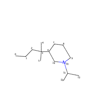 CCCC(C)(C)C1CCCN(C(C)C)C1